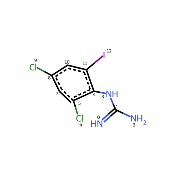 N=C(N)Nc1c(Cl)cc(Cl)cc1I